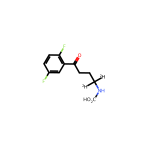 [2H]C([2H])(CCC(=O)c1cc(F)ccc1F)NC(=O)O